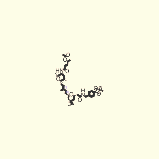 CC(=O)OC(C)C=CC(=O)N[C@@H]1C[C@H](C)[C@H](C/C=C(C)/C=C/[C@@H]2C[C@]3(CO3)C[C@@H](CC(=O)NCc3ccc(S(=O)(=O)N(C)C)cc3)O2)O[C@@H]1C